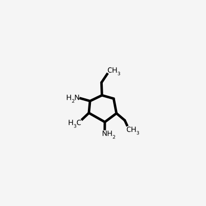 CCC1CC(CC)C(N)C(C)C1N